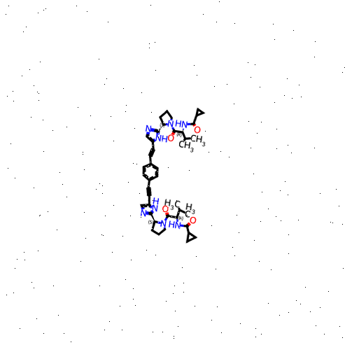 CC(C)[C@@H](NC(=O)C1CC1)C(=O)N1CCC[C@H]1c1ncc(C#Cc2ccc(C#Cc3cnc([C@@H]4CCCN4C(=O)[C@H](NC(=O)C4CC4)C(C)C)[nH]3)cc2)[nH]1